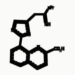 CCCC(=N)Cc1cnc(-c2cccc3ccc(C(=O)O)nc23)s1